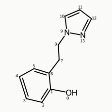 Oc1ccccc1CCn1cccn1